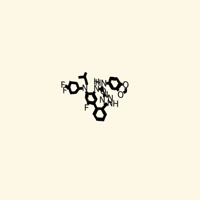 CC(C)CN(c1cc(F)c(-c2ccccc2-c2nnn[nH]2)cc1NC(=O)Nc1ccc2c(c1)OCO2)C1CCC(F)(F)CC1